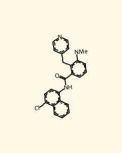 CNc1cccc(C(=O)Nc2ccc(Cl)c3ccccc23)c1Cc1ccncc1